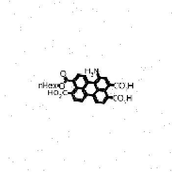 CCCCCCOC(=O)c1ccc2c3c(N)cc(C(=O)O)c4c(C(=O)O)ccc(c5ccc(C(=O)O)c1c52)c43